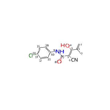 C=C(C)C(O)=C(C#N)C(=O)Nc1ccc(Cl)cc1